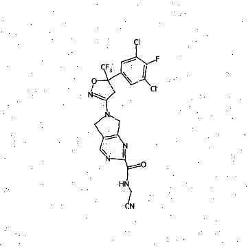 N#CCNC(=O)c1ncc2c(n1)CN(C1=NOC(c3cc(Cl)c(F)c(Cl)c3)(C(F)(F)F)C1)C2